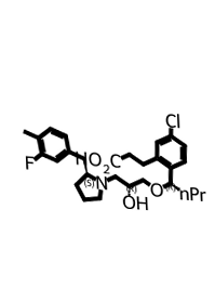 CCC[C@@H](OC[C@H](O)CN1CCC[C@H]1Cc1ccc(C)c(F)c1)c1ccc(Cl)cc1CCC(=O)O